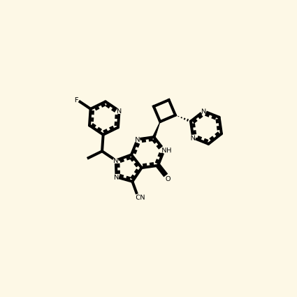 CC(c1cncc(F)c1)n1nc(C#N)c2c(=O)[nH]c([C@H]3CC[C@@H]3c3ncccn3)nc21